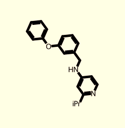 CC(C)c1cc(NCc2cccc(Oc3ccccc3)c2)ccn1